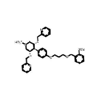 COc1ccccc1COCCCOc1ccc([C@@H]2[C@@H](OCc3ccccn3)CN(C(=O)O)C[C@H]2OCc2ccccn2)cc1